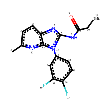 Cc1ccc2nc(NC(=O)CC(C)(C)C)n(-c3ccc(F)c(F)c3)c2n1